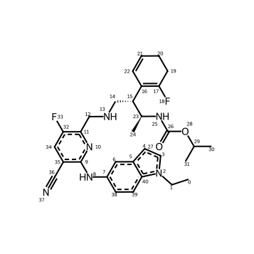 CCn1ccc2cc(Nc3nc(CNC[C@H](C4=C(F)CCC=C4)[C@H](C)NC(=O)OC(C)C)c(F)cc3C#N)ccc21